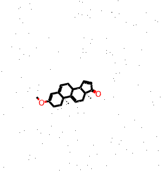 COC1=CC2=CCC3C(=CC[C@]4(C)C(=O)C=CC34)[C@@]2(C)CC1